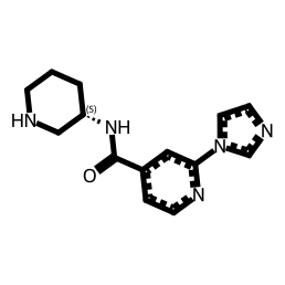 O=C(N[C@H]1CCCNC1)c1ccnc(-n2ccnc2)c1